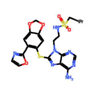 CC(C)CS(=O)(=O)NCCn1c(Sc2cc3c(cc2-c2ncco2)OCO3)nc2c(N)ncnc21